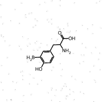 Bc1cc(CC(N)C(=O)O)ccc1O